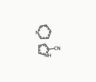 N#Cc1ccc[nH]1.c1ccncc1